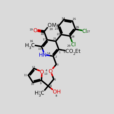 CCOC(=O)C1=C(COCC(C)(O)c2ccco2)NC(C)=C(C(=O)OC)C1c1cccc(Cl)c1Cl